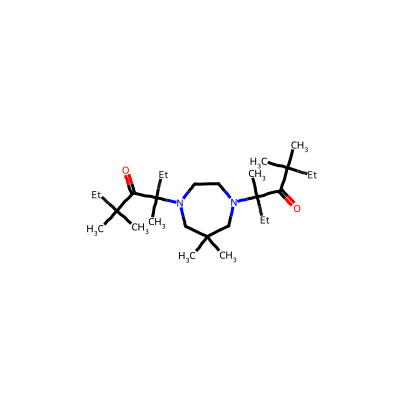 CCC(C)(C)C(=O)C(C)(CC)N1CCN(C(C)(CC)C(=O)C(C)(C)CC)CC(C)(C)C1